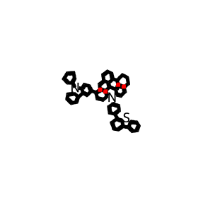 c1ccc(-n2c3ccccc3c3cc(-c4ccc(N(c5ccc(-c6cccc7c6sc6ccccc67)cc5)c5ccccc5-c5cccc6cccc(C7CCCCC7)c56)cc4)ccc32)cc1